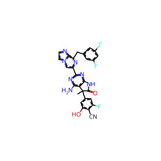 CC1(c2cc(O)c(C#N)c(F)c2)C(=O)Nc2nc(-c3cn4ccnc4c(Cc4cc(F)cc(F)c4)n3)nc(N)c21